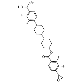 CCCC(O)c1ccc(C2CCC(C3CCC(OC(=O)c4ccc(C5CO5)c(F)c4F)CC3)CC2)c(F)c1F